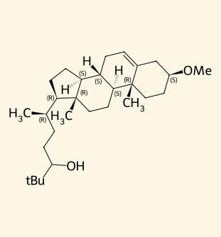 CO[C@H]1CC[C@@]2(C)C(=CC[C@H]3[C@@H]4CC[C@H]([C@H](C)CCC(O)C(C)(C)C)[C@@]4(C)CC[C@@H]32)C1